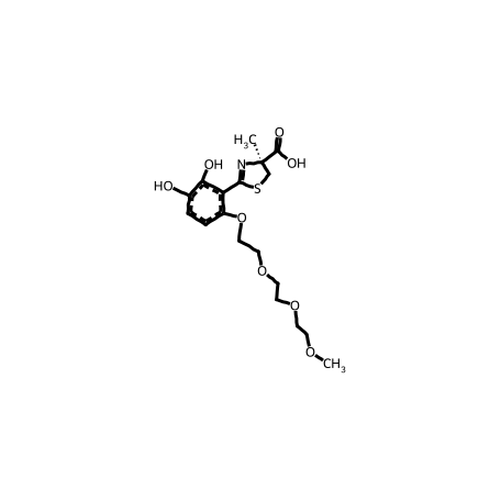 COCCOCCOCCOc1ccc(O)c(O)c1C1=N[C@@](C)(C(=O)O)CS1